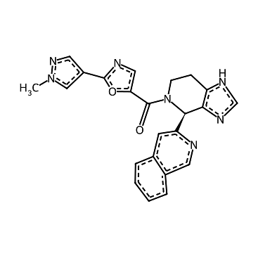 Cn1cc(-c2ncc(C(=O)N3CCc4[nH]cnc4[C@H]3c3cc4ccccc4cn3)o2)cn1